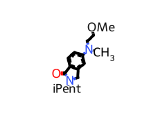 CCCC(C)N1Cc2cc(N(C)CCOC)ccc2C1=O